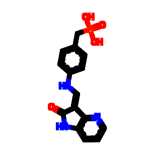 O=C1Nc2cccnc2/C1=C/Nc1ccc(CP(=O)(O)O)cc1